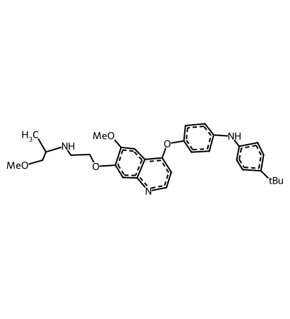 COCC(C)NCCOc1cc2nccc(Oc3ccc(Nc4ccc(C(C)(C)C)cc4)cc3)c2cc1OC